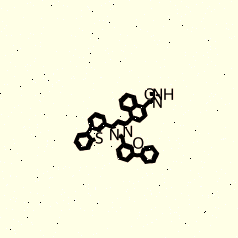 c1ccc2c(c1)oc1c(-c3nc(-c4ccc(-c5n[nH]o5)c5ccccc45)cc(-c4cccc5c4sc4ccccc45)n3)cccc12